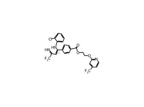 N=C(/C=C(\Nc1ccccc1Cl)c1ccc(C(=O)OCCOc2cc(C(F)(F)F)ccn2)cc1)C(F)(F)F